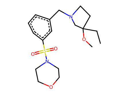 CCC1(OC)CCN(Cc2cccc(S(=O)(=O)N3CCOCC3)c2)C1